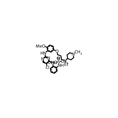 CCN(CCCOc1ccc(OC)c(Nc2ncc(Cl)c(Nc3ccccc3N[SH](C)(=O)C=O)n2)c1)C1CCN(C)CC1